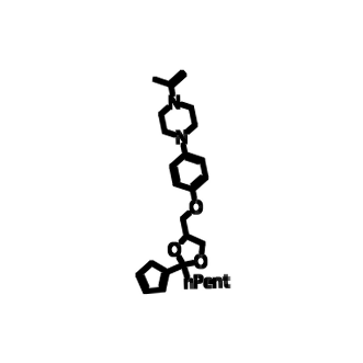 C=C(C)N1CCN(c2ccc(OCC3COC(CCCCC)(C4=CC=CC4)O3)cc2)CC1